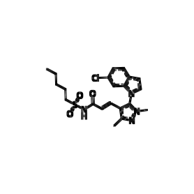 CCCCCS(=O)(=O)NC(=O)C=Cc1c(C)nn(C)c1-n1ccc2ccc(Cl)cc21